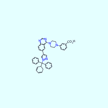 O=C(O)c1cccc(N2CCN(c3ncnc4ccc(-c5cnn(C(c6ccccc6)(c6ccccc6)C6C=CC=CC6)c5)cc34)CC2)c1